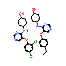 CCc1ccc(Oc2cncnc2NC2CCC(O)CC2)cc1.OC1CCC(Nc2ncncc2Oc2ccc(Cl)cc2Cl)CC1